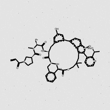 C=CC(=O)N1CC[C@H](C(=O)N(C)[C@H](C(=O)N[C@H]2Cc3cc(O)cc(c3)-c3ccc4c(c3)c(c(-c3cccnc3[C@H](C)OC)n4CC)CC(C)(C)COC(=O)[C@H]3NN(Cc4ccccc43)C2=O)C(C)C)C1